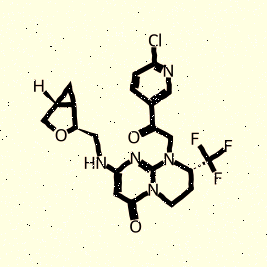 O=C(CN1c2nc(NC[C@H]3OC[C@@H]4CC43)cc(=O)n2CC[C@H]1C(F)(F)F)c1ccc(Cl)nc1